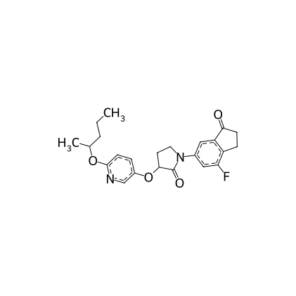 CCCC(C)Oc1ccc(OC2CCN(c3cc(F)c4c(c3)C(=O)CC4)C2=O)cn1